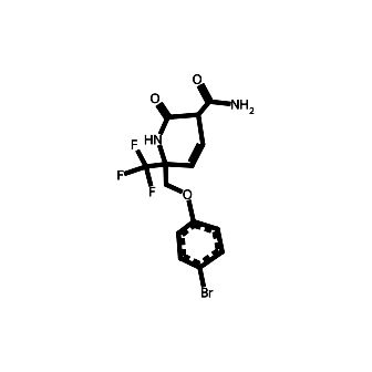 NC(=O)C1C=CC(COc2ccc(Br)cc2)(C(F)(F)F)NC1=O